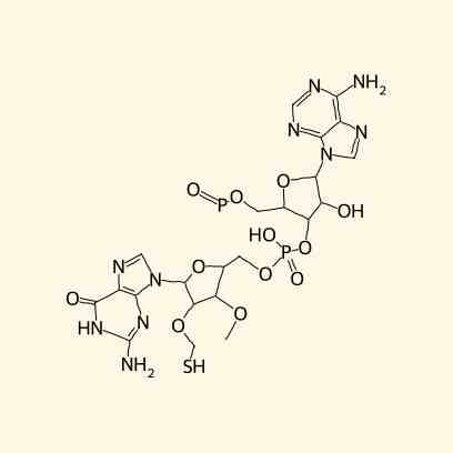 COC1C(COP(=O)(O)OC2C(COP=O)OC(n3cnc4c(N)ncnc43)C2O)OC(n2cnc3c(=O)[nH]c(N)nc32)C1OCS